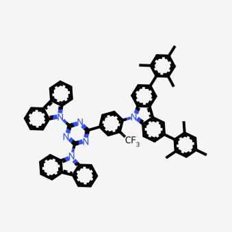 Cc1cc(C)c(-c2ccc3c(c2)c2cc(-c4c(C)cc(C)cc4C)ccc2n3-c2ccc(-c3nc(-n4c5ccccc5c5ccccc54)nc(-n4c5ccccc5c5ccccc54)n3)cc2C(F)(F)F)c(C)c1